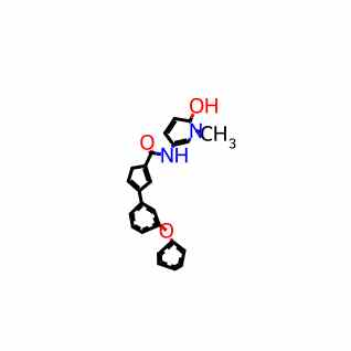 CN1C=C(NC(=O)C2=CC(c3cccc(Oc4ccccc4)c3)=CC2)C=CC1O